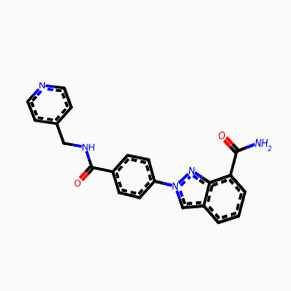 NC(=O)c1cccc2cn(-c3ccc(C(=O)NCc4ccncc4)cc3)nc12